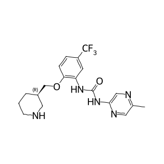 Cc1cnc(NC(=O)Nc2cc(C(F)(F)F)ccc2OC[C@@H]2CCCNC2)cn1